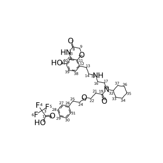 O=C(O)C(F)(F)F.O=C1COc2c(CCNCCN(C(=O)CCOCCc3ccccc3)C3CCCCC3)ccc(O)c2N1